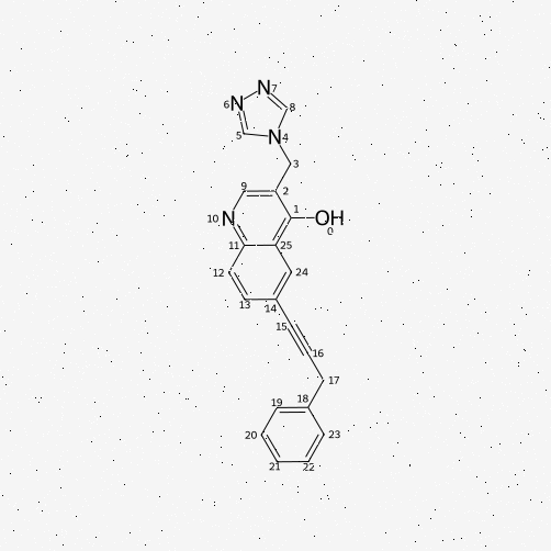 Oc1c(Cn2cnnc2)cnc2ccc(C#CCc3ccccc3)cc12